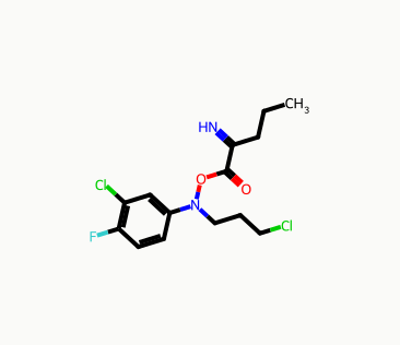 CCCC(=N)C(=O)ON(CCCCl)c1ccc(F)c(Cl)c1